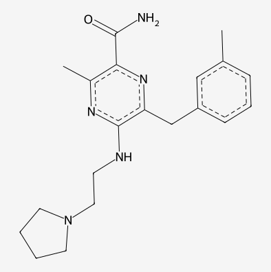 Cc1cccc(Cc2nc(C(N)=O)c(C)nc2NCCN2CCCC2)c1